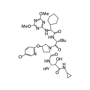 CCC[C@H](NC(=O)[C@@H]1C[C@@H](Oc2ccc(Cl)cn2)CN1C(=O)[C@@H](NC(=O)[C@@H](Nc1nc(OC)nc(OC)n1)C1CCCCC1)C(C)(C)C)C(O)C(=O)NC1CC1